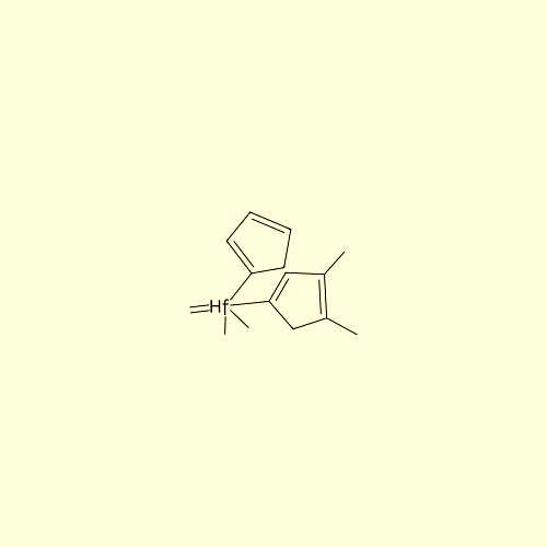 [CH2]=[Hf]([CH3])([CH3])([C]1=CC=CC1)[C]1=CC(C)=C(C)C1